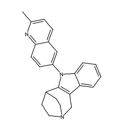 Cc1ccc2cc(-n3c4c(c5ccccc53)CN3CCC4CC3)ccc2n1